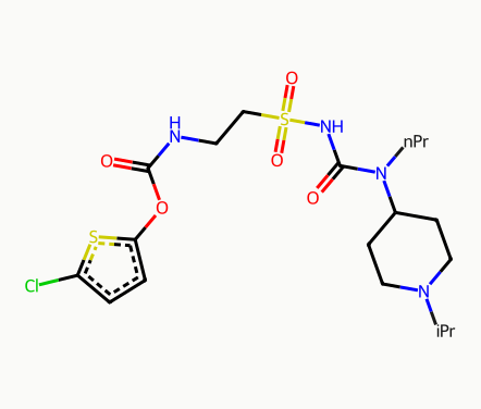 CCCN(C(=O)NS(=O)(=O)CCNC(=O)Oc1ccc(Cl)s1)C1CCN(C(C)C)CC1